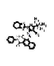 CC(C)(C)c1nn(-c2nc3c(s2)C=CCC3)c(/N=N/c2c(O)c(C(=O)Nc3ccccc3)cc3ccccc23)c1C#N